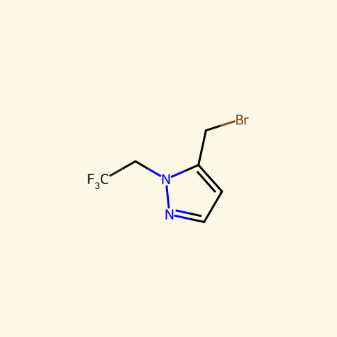 FC(F)(F)Cn1nccc1CBr